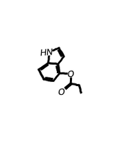 CCC(=O)Oc1cccc2[nH]ccc12